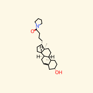 C[C@]12CC[C@H]3[C@@H](CC=C4C[C@@H](O)CC[C@@]43C)[C@@H]1CC[C@@H]2CCCC(=O)N1CCCC1